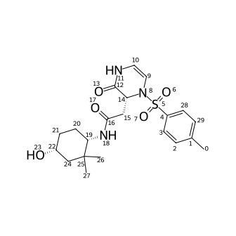 Cc1ccc(S(=O)(=O)N2C=CNC(=O)[C@H]2CC(=O)N[C@H]2CC[C@@H](O)CC2(C)C)cc1